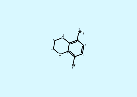 Nc1ccc(Br)c2c1OCCO2